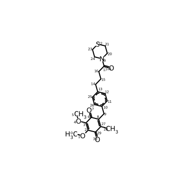 COC1=C(OC)C(=O)C(Cc2ccc(CCCC(=O)N3CCSCC3)cc2)=C(C)C1=O